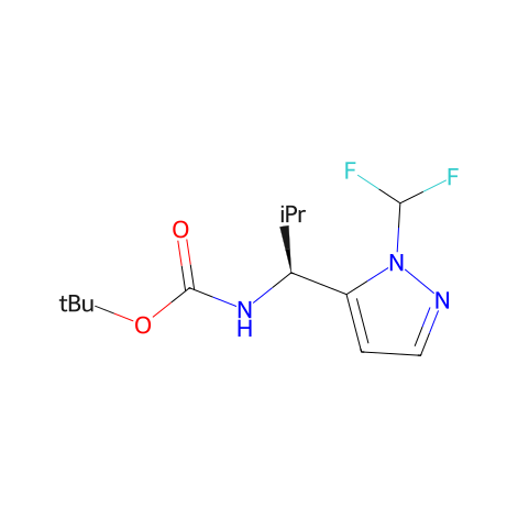 CC(C)[C@H](NC(=O)OC(C)(C)C)c1ccnn1C(F)F